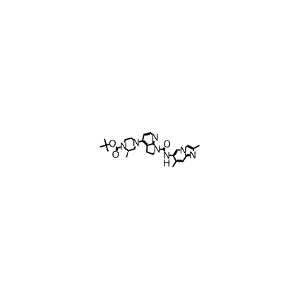 Cc1cn2cc(NC(=O)N3CCc4c(N5CCN(C(=O)OC(C)(C)C)[C@H](C)C5)ccnc43)c(C)cc2n1